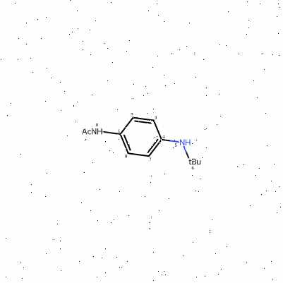 CC(=O)Nc1ccc(NC(C)(C)C)cc1